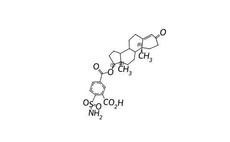 C[C@]12CCC(=O)C=C1CCC1C2CC[C@@]2(C)C1CC[C@@H]2OC(=O)c1ccc(S(N)(=O)=O)c(C(=O)O)c1